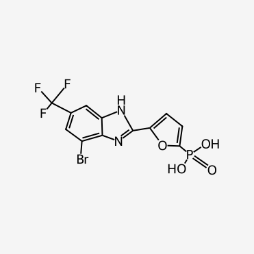 O=P(O)(O)c1ccc(-c2nc3c(Br)cc(C(F)(F)F)cc3[nH]2)o1